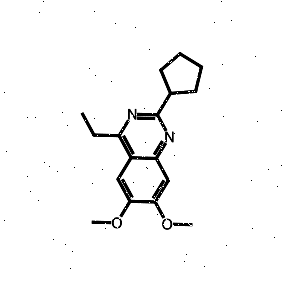 CCc1nc(C2CCCC2)nc2cc(OC)c(OC)cc12